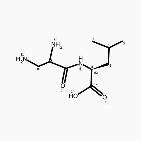 CC(C)C[C@H](NC(=O)C(N)CN)C(=O)O